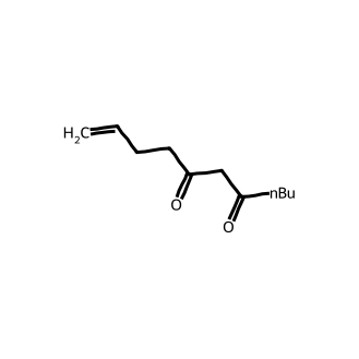 C=CCCC(=O)CC(=O)CCCC